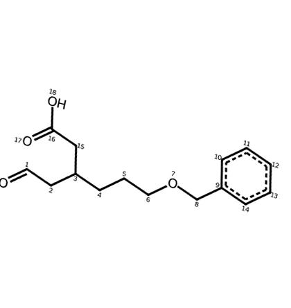 O=CCC(CCCOCc1ccccc1)CC(=O)O